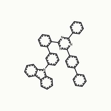 c1ccc(-c2ccc(-c3nc(-c4ccccc4)nc(-c4ccccc4-c4cccc(-n5c6ccccc6c6ccccc65)c4)n3)cc2)cc1